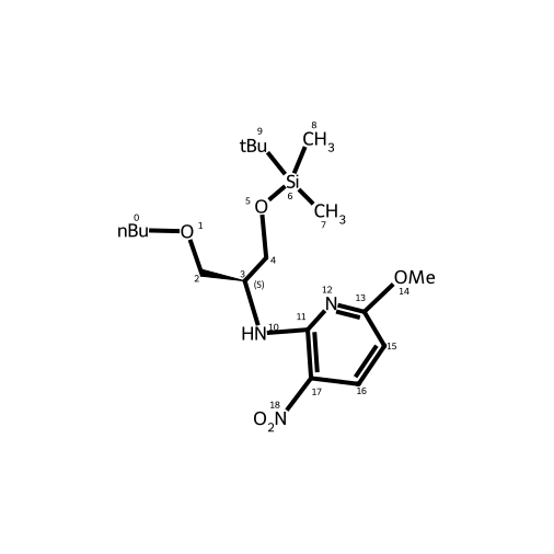 CCCCOC[C@@H](CO[Si](C)(C)C(C)(C)C)Nc1nc(OC)ccc1[N+](=O)[O-]